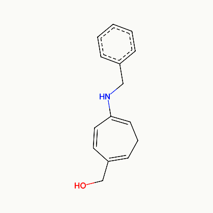 OCC1=CCC=C(NCc2ccccc2)C=C1